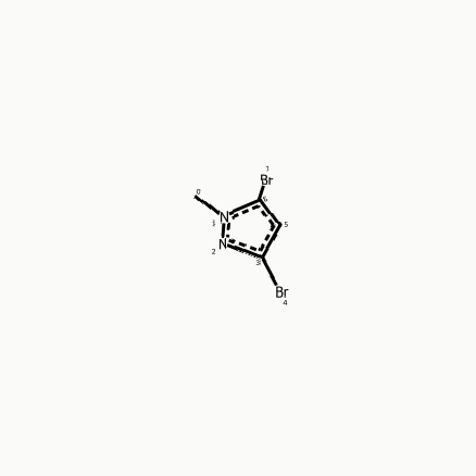 Cn1nc(Br)cc1Br